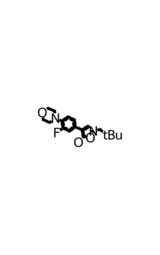 CC(C)(C)Cn1cc(-c2ccc(N3CCOCC3)c(F)c2)c(=O)o1